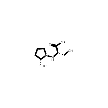 CCCC(=O)[C@H](CO)NN1CCC[C@H]1C=O